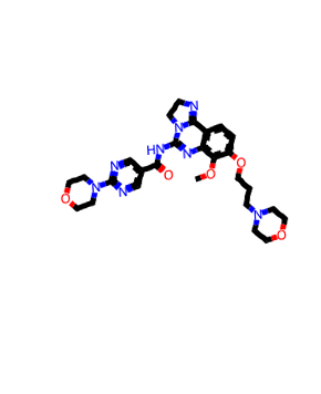 COc1c(OCCCN2CCOCC2)ccc2c1N=C(NC(=O)c1cnc(N3CCOCC3)nc1)N1CCN=C21